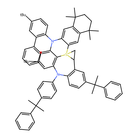 CC(C)(C)c1ccc(N2c3cc4c(cc3S35CC3c3cc(C(C)(C)c6ccccc6)ccc3N(c3ccc(C(C)(C)c6ccccc6)cc3)c3cc(C(C)(C)C)cc2c35)C(C)(C)CCC4(C)C)c(-c2ccccc2)c1